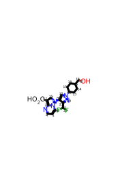 O=C(O)C1=C2N=CC=CN2N(c2cn(C3CCC(CO)CC3)nc2C(F)F)C1